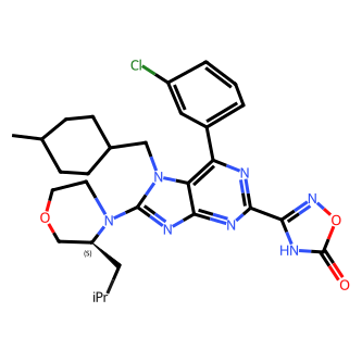 CC(C)C[C@H]1COCCN1c1nc2nc(-c3noc(=O)[nH]3)nc(-c3cccc(Cl)c3)c2n1CC1CCC(C)CC1